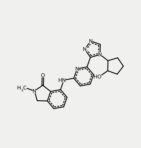 CN1Cc2cccc(Nc3cccc(-c4nncn4C4CCCC4O)n3)c2C1=O